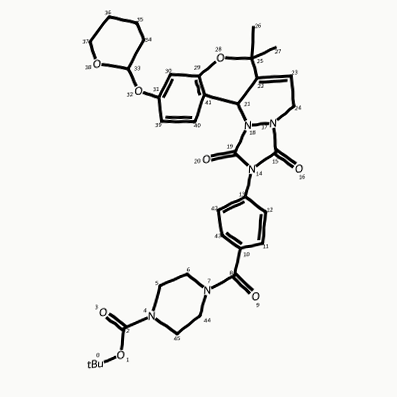 CC(C)(C)OC(=O)N1CCN(C(=O)c2ccc(-n3c(=O)n4n(c3=O)C3C(=CC4)C(C)(C)Oc4cc(OC5CCCCO5)ccc43)cc2)CC1